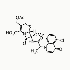 CO[C@@]1(NC(=O)C(C)n2ccc(=O)c3c(Cl)cccc32)C(=O)N2C(C(=O)O)=C(COC(C)=O)CS[C@@H]21